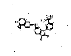 CCn1c(=O)c2cnc(Nc3ccc4c(c3)CCNC43CC3)nc2n1-c1ccc(F)c(C(C)(C)O)n1